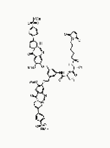 CNS(=O)(=O)c1ccc(C2=CCN3C(=O)c4cc(OC)c(OCc5cc(COc6cc7c(cc6OC)C(=O)N6CC=C(c8ccc(S(=O)(=O)NC)cc8)C[C@H]6C=N7)cc(NC(=O)[C@H](C)NC(=O)[C@@H](NC(=O)CCCCCN6C(=O)C=CC6=O)C(C)C)c5)cc4N=C[C@@H]3C2)cc1